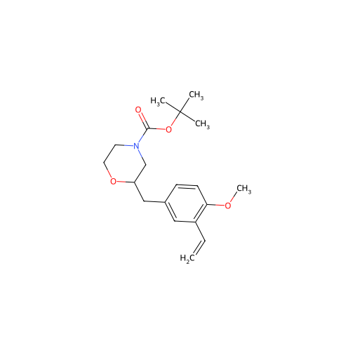 C=Cc1cc(CC2CN(C(=O)OC(C)(C)C)CCO2)ccc1OC